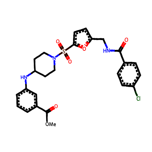 COC(=O)c1cccc(NC2CCN(S(=O)(=O)c3ccc(CNC(=O)c4ccc(Cl)cc4)o3)CC2)c1